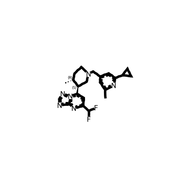 Cc1cc(CN2CC[C@@H](C)[C@H](c3cc(C(F)F)nc4ncnn34)C2)cc(C2CC2)n1